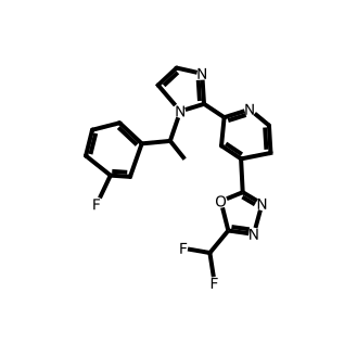 CC(c1cccc(F)c1)n1ccnc1-c1cc(-c2nnc(C(F)F)o2)ccn1